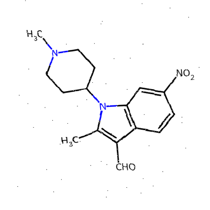 Cc1c(C=O)c2ccc([N+](=O)[O-])cc2n1C1CCN(C)CC1